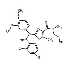 COc1ccc(N(C(=O)c2ccc(Cl)cc2Cl)c2nc(C(=O)N(C)CCO)c(C)s2)cc1OC